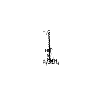 CCCCCCCCC=CCCCCCCCC(=O)NCCOC(=O)CCNC(=O)C1OC(C)(C)OCC1(C)C